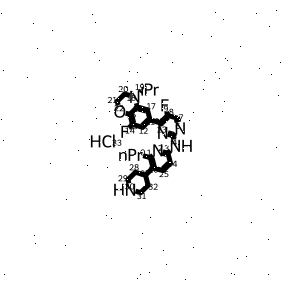 CCCc1nc(Nc2ncc(F)c(-c3cc(F)c4c(c3)N(C(C)C)CCO4)n2)ccc1C1CCNCC1.Cl